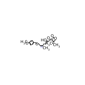 COc1ccc(COC/C=C(/C)CC[C@@H](O)CC(=O)N2C(=O)OC[C@H]2C(C)C)cc1